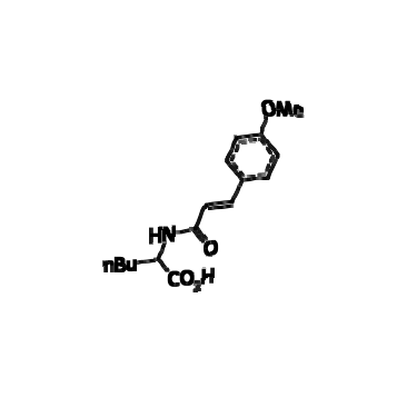 CCCCC(NC(=O)C=Cc1ccc(OC)cc1)C(=O)O